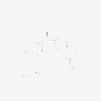 CC(C)C[C@H](NC(=O)[C@@H](N)CCC(=O)O)C(=O)N[C@@H](CC(=O)O)C(=O)O